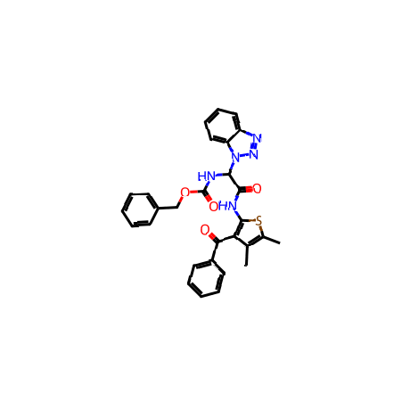 Cc1sc(NC(=O)C(NC(=O)OCc2ccccc2)n2nnc3ccccc32)c(C(=O)c2ccccc2)c1C